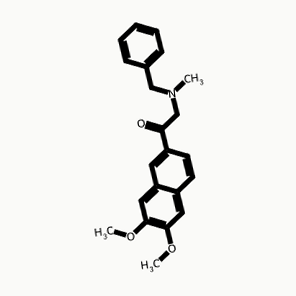 COc1cc2ccc(C(=O)CN(C)Cc3ccccc3)cc2cc1OC